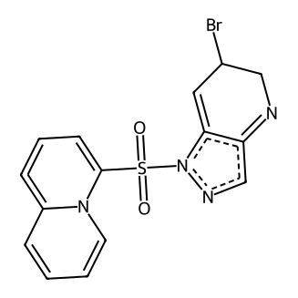 O=S(=O)(C1=CC=C=C2C=CC=CN21)n1ncc2c1=CC(Br)CN=2